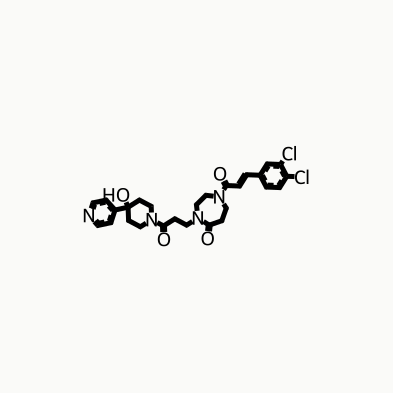 O=C(/C=C/c1ccc(Cl)c(Cl)c1)N1CCC(=O)N(CCC(=O)N2CCC(O)(c3ccncc3)CC2)CC1